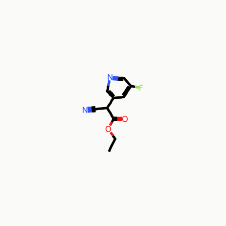 CCOC(=O)C(C#N)c1cncc(F)c1